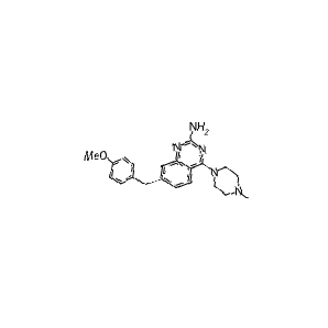 COc1ccc(Cc2ccc3c(N4CCN(C)CC4)nc(N)nc3c2)cc1